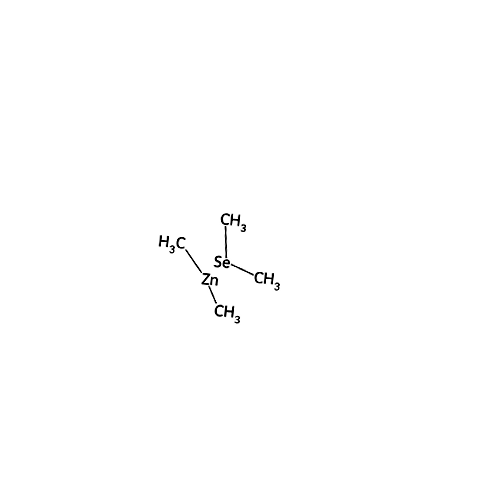 C[Se]C.[CH3][Zn][CH3]